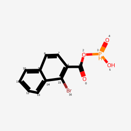 O=C(O[PH](=O)O)c1ccc2ccccc2c1Br